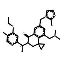 CCOc1cc([C@H](C)N2CC3(CC3)c3c(CN(C)C)cc(Cn4ccnc4C)cc3C2=O)ncc1F